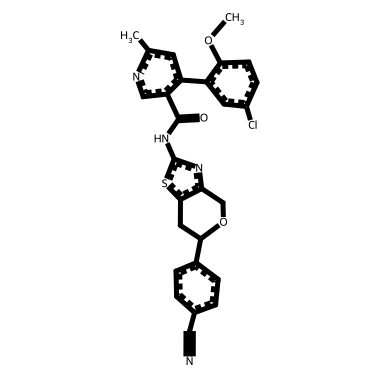 COc1ccc(Cl)cc1-c1cc(C)ncc1C(=O)Nc1nc2c(s1)CC(c1ccc(C#N)cc1)OC2